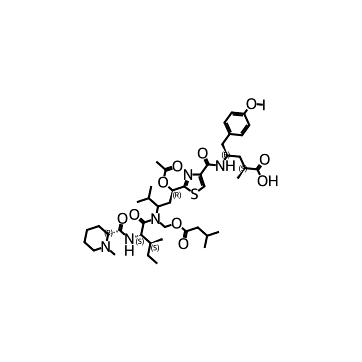 CC[C@H](C)[C@H](NC(=O)[C@H]1CCCCN1C)C(=O)N(COC(=O)CC(C)C)C(C[C@@H](OC(C)=O)c1nc(C(=O)N[C@@H](Cc2ccc(OI)cc2)C[C@H](C)C(=O)O)cs1)C(C)C